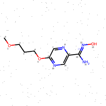 COCCCOc1cnc(/C(N)=N/O)cn1